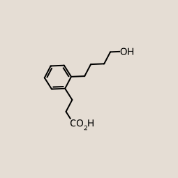 O=C(O)CCc1ccccc1CCCCO